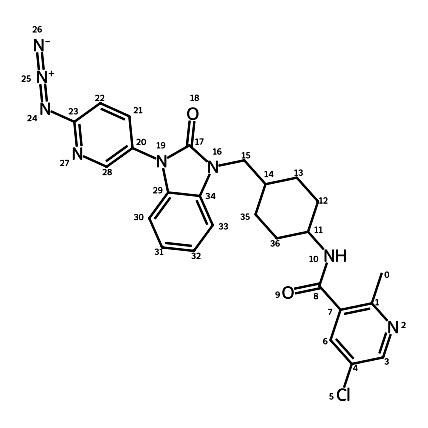 Cc1ncc(Cl)cc1C(=O)NC1CCC(Cn2c(=O)n(-c3ccc(N=[N+]=[N-])nc3)c3ccccc32)CC1